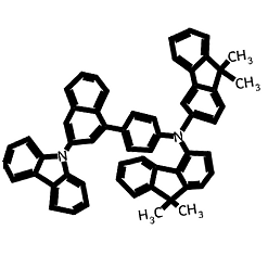 CC1(C)c2ccccc2-c2cc(N(c3ccc(-c4cc(-n5c6ccccc6c6ccccc65)cc5ccccc45)cc3)c3cccc4c3-c3ccccc3C4(C)C)ccc21